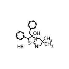 Br.CC1(C)CN=C2SC(c3ccccc3)C(O)(Cc3ccccc3)N2C1